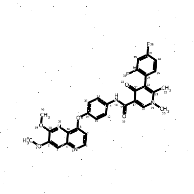 COc1cc2nccc(Oc3ccc(NC(=O)c4cn(C)c(C)c(-c5ccc(F)cc5F)c4=O)cc3)c2nc1OC